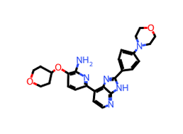 Nc1nc(-c2ccnc3[nH]c(-c4ccc(N5CCOCC5)cc4)nc23)ccc1OC1CCOCC1